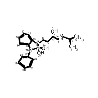 CC(C)NC[C@@H](O)CCN1c2ccccc2N(c2ccccc2)S1(O)O